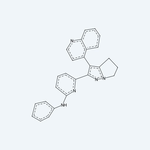 c1ccc(Nc2cccc(-c3nn4c(c3-c3ccnc5ccccc35)CCC4)n2)cc1